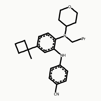 CC(C)CN(c1ccc(C2(C)CCC2)cc1Nc1ccc(C#N)cc1)C1CCOCC1